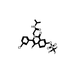 CC(C)NC(=O)Cn1c(-c2cccc(Cl)c2)c(I)c2ccc(OS(=O)(=O)C(F)(F)F)cc2c1=O